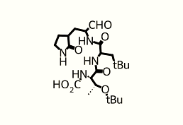 C[C@@H](OC(C)(C)C)[C@H](NC(=O)O)C(=O)NC(CC(C)(C)C)C(=O)NC(C=O)CC1CCNC1=O